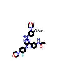 C=CC(=O)Nc1cccc(-c2nc(Nc3ccc(OC)c(N4CCOCC4)c3)ncc2Nc2ccc(N3CCOCC3)c(F)c2)c1